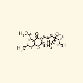 CCCC1=C(CCC)C(=O)N(CCCC(C)(C)CCCl)[C@H](C)C1